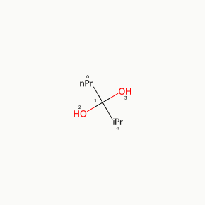 CCCC(O)(O)C(C)C